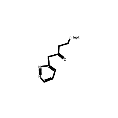 CCCCCCCCCC(=O)Cc1cccnn1